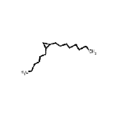 [CH2]CCCCCCCC1CC1CCCCCC